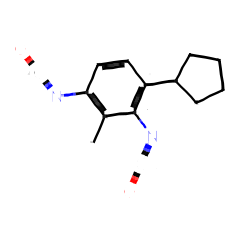 Cc1c(N=C=O)ccc(C2CCCC2)c1N=C=O